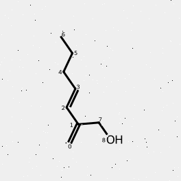 [CH]=C(/C=C/CCC)CO